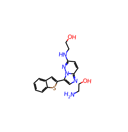 NCCO.OCCNc1ccc2ncc(-c3cc4ccccc4s3)n2n1